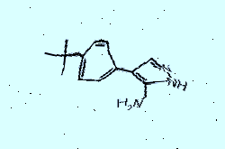 CC(C)(C)c1ccc(-c2cn[nH]c2N)cc1